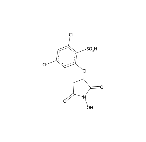 O=C1CCC(=O)N1O.O=S(=O)(O)c1c(Cl)cc(Cl)cc1Cl